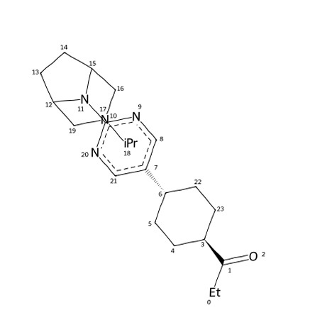 CCC(=O)[C@H]1CC[C@H](c2cnc(N3C4CCC3CN(C(C)C)C4)nc2)CC1